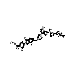 CC(C)n1nc(N2CCN(Cc3ccc4c(c3F)CN(C3CCC(C(=O)C=O)NC3)C4=O)CC2)c2cnc(Nc3ccnc(-c4cnn(S(=O)(=O)C5CC5)c4)n3)cc21